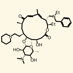 CC[C@H]1OC(=O)C[C@@H](O)[C@H](C)[C@@H](O[C@@H]2O[C@H](C)[C@@H](O)[C@H](N(C)C)[C@H]2O)[C@@H](CCN2CCCCC2)C[C@@H](C)C(=O)/C=C/C(C)=C/[C@@H]1CN(CC)Cc1ccccc1